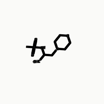 CS(=O)(=O)NC([C]=O)CN1CCOCC1